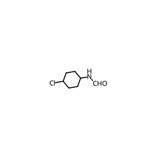 O=CNC1CCC(Cl)CC1